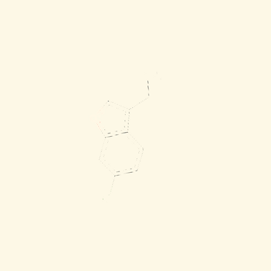 O=C(O)Cc1coc2cc(Cl)ccc12